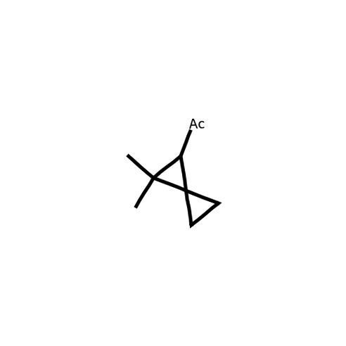 CC(=O)C1C(C)(C)C12CC2